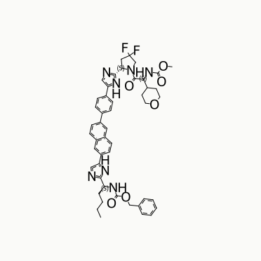 CCCC[C@H](NC(=O)OCc1ccccc1)c1ncc(-c2ccc3cc(-c4ccc(-c5cnc([C@@H]6CC(F)(F)CN6C(=O)[C@@H](NC(=O)OC)C6CCOCC6)[nH]5)cc4)ccc3c2)[nH]1